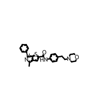 Cc1nn(-c2ccccc2)c2sc(C(=O)Nc3ccc(CCN4CCOCC4)cc3)cc12